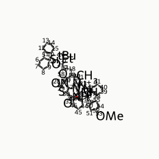 CCC(O[Si](c1ccccc1)(c1ccccc1)C(C)(C)C)[C@@H]1C[C@@H](C(C)N=[N+]=[N-])[C@H](n2c(=O)sc3c(=O)[nH]c(NC(c4ccccc4)(c4ccccc4)c4ccc(OC)cc4)nc32)O1